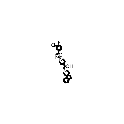 OC(CN1CCC2(C=Cc3ccccc32)CC1)C1CCN(c2ncc(-c3ccc(F)c(Cl)c3)o2)CC1